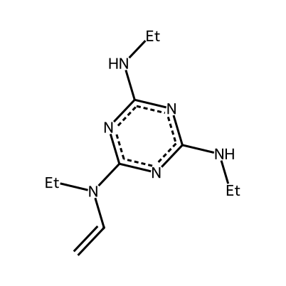 C=CN(CC)c1nc(NCC)nc(NCC)n1